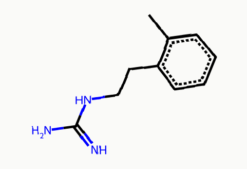 Cc1ccccc1CCNC(=N)N